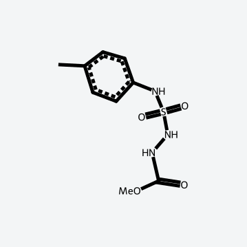 COC(=O)NNS(=O)(=O)Nc1ccc(C)cc1